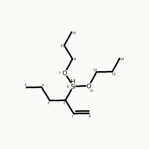 C=CC(CCC)[SiH](OCCC)OCCC